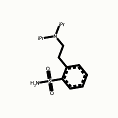 CC(C)N(CCc1ccccc1S(N)(=O)=O)C(C)C